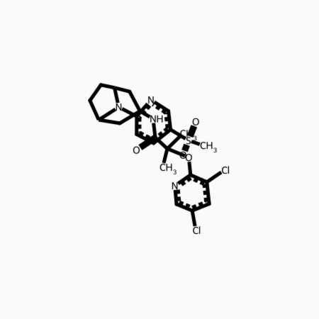 CC(C)(Oc1ncc(Cl)cc1Cl)C(=O)NC1CC2CCC(C1)N2c1ccc(S(C)(=O)=O)cn1